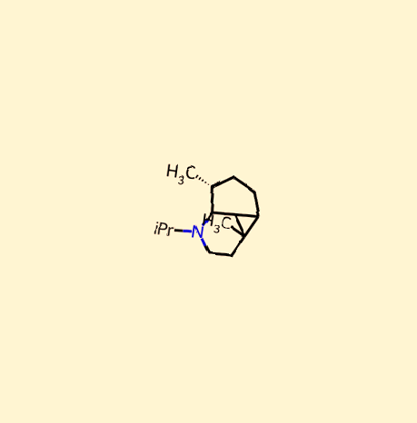 CC(C)N1CCC2(C)C3CC[C@@H](C)C1C32